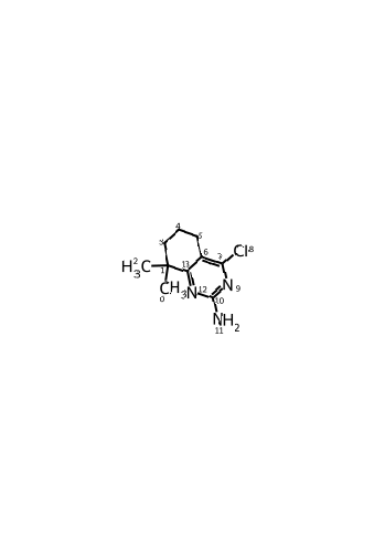 CC1(C)CCCc2c(Cl)nc(N)nc21